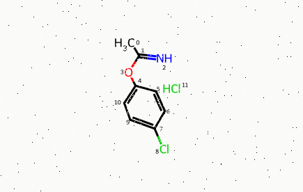 CC(=N)Oc1ccc(Cl)cc1.Cl